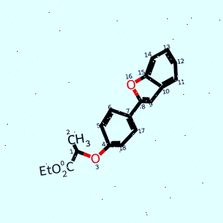 CCOC(=O)C(C)Oc1ccc(-c2cc3ccccc3o2)cc1